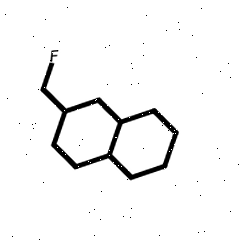 FCC1CCC2CCCCC2C1